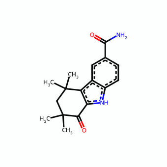 CC1(C)CC(C)(C)c2c([nH]c3ccc(C(N)=O)cc23)C1=O